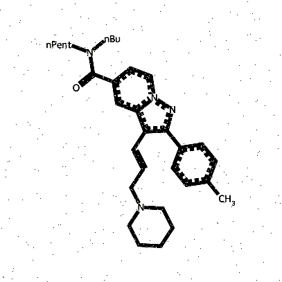 CCCCCN(CCCC)C(=O)c1ccn2nc(-c3ccc(C)cc3)c(/C=C/CN3CCCCC3)c2c1